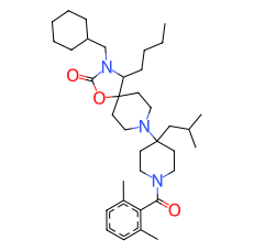 CCCCC1N(CC2CCCCC2)C(=O)OC12CCN(C1(CC(C)C)CCN(C(=O)c3c(C)cccc3C)CC1)CC2